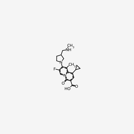 CNCC1CCN(c2c(F)cn3c(=O)c(C(=O)O)cc(C4CC4)c3c2C)C1